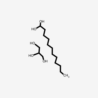 CCCCCCCCCCCC(O)O.OCC(O)CO